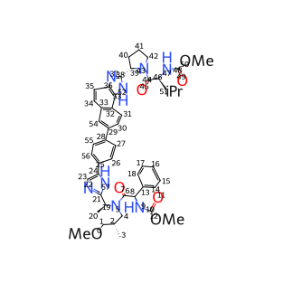 COC[C@@H](C)CN(C(=O)[C@H](NC(=O)OC)c1ccccc1)[C@@H](C)c1ncc(-c2ccc(-c3ccc4c(ccc5nc([C@@H]6CCCN6C(=O)[C@@H](NC(=O)OC)C(C)C)[nH]c54)c3)cc2)[nH]1